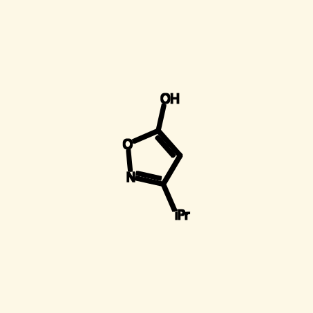 CC(C)c1cc(O)on1